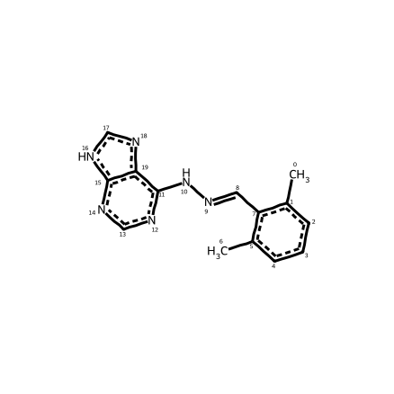 Cc1cccc(C)c1C=NNc1ncnc2[nH]cnc12